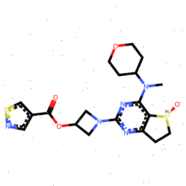 CN(c1nc(N2CC(OC(=O)c3cnsc3)C2)nc2c1[S@@+]([O-])CC2)C1CCOCC1